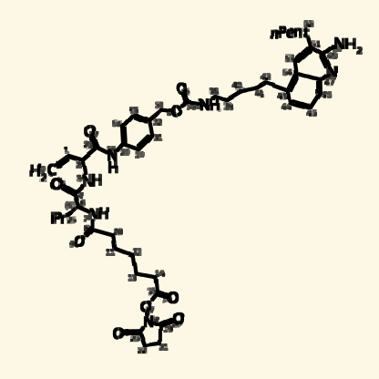 C=CC(NC(=O)[C@@H](NC(=O)CCCCCC(=O)ON1C(=O)CCC1=O)C(C)C)C(=O)Nc1ccc(COC(=O)NCCCCCc2cccc3nc(N)c(CCCCC)cc23)cc1